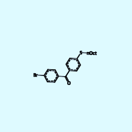 CCCCCCCCSc1ccc(C(=O)c2ccc(Br)cc2)cc1